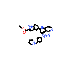 CCOC(=O)c1cc2cc(-c3cc(Nc4ccc(CN5CCCC5)cc4)c4cnccc4n3)ccc2n1C